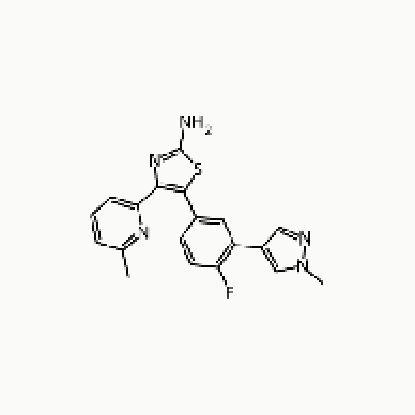 Cc1cccc(-c2nc(N)sc2-c2ccc(F)c(-c3cnn(C)c3)c2)n1